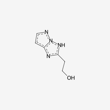 OCCc1nc2ccnn2[nH]1